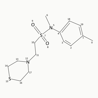 Cc1ccc(N(C)S(=O)(=O)CCN2CCSCC2)cc1